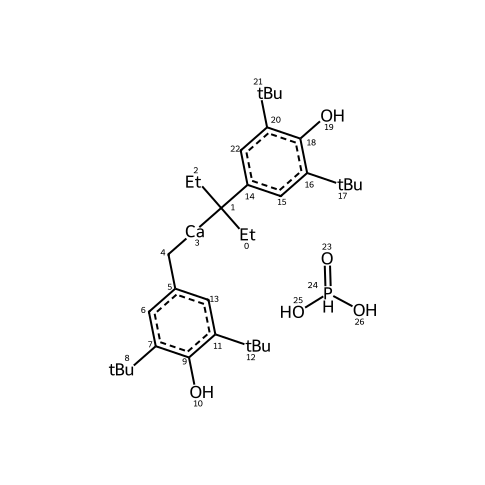 CC[C](CC)([Ca][CH2]c1cc(C(C)(C)C)c(O)c(C(C)(C)C)c1)c1cc(C(C)(C)C)c(O)c(C(C)(C)C)c1.O=[PH](O)O